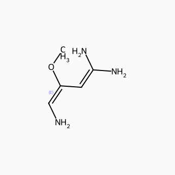 CO/C(C=C(N)N)=C/N